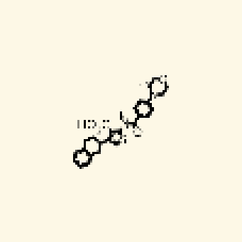 C[C@@H]1COCCN1c1ccc(C(=O)N(I)c2scc(C3CCc4ccccc4C3)c2C(=O)O)cc1